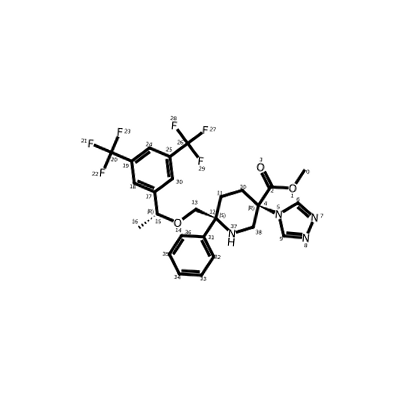 COC(=O)[C@@]1(n2cnnc2)CC[C@@](CO[C@H](C)c2cc(C(F)(F)F)cc(C(F)(F)F)c2)(c2ccccc2)NC1